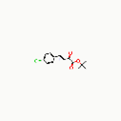 CC(C)(C)OC(=O)C(=O)/C=C/c1ccc(Cl)cc1